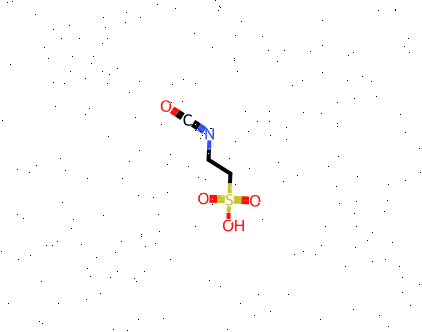 O=C=NCCS(=O)(=O)O